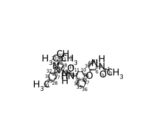 CCC(=O)Nc1cc(Oc2ccc(NC(=O)Nc3cc(C(C)(C)C)nn3-c3ccc(C)cc3)c3ccccc23)ccn1